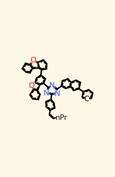 CCC/C=C\c1ccc(-c2nc(-c3ccc4ccc(-c5ccccc5)cc4c3)nc(-c3cc(-c4cccc5oc6ccccc6c45)cc4oc5ccccc5c34)n2)cc1